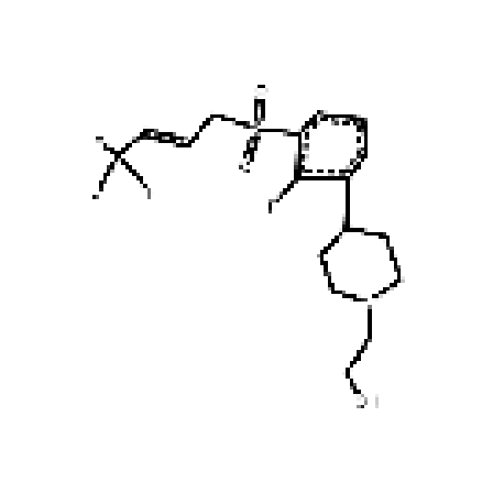 O=S(=O)(CC=CC(F)(F)F)c1cccc(C2CCN(CCO)CC2)c1F